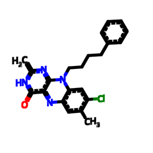 C=c1nc2c(c(=O)[nH]1)=Nc1cc(C)c(Cl)cc1N2CCCCc1ccccc1